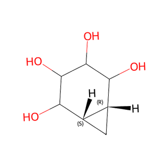 OC1C(O)C(O)[C@@H]2C[C@@H]2C1O